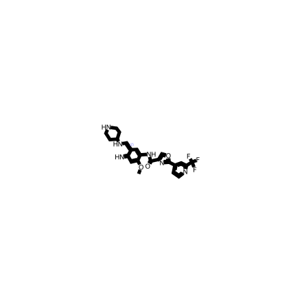 COC1=CC(=N)/C(=C\NC2CCNCC2)C=C1NC(=O)c1coc(-c2ccnc(C(F)(F)F)c2)n1